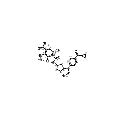 C=CN(c1ccc(C(=O)C2CC2)cn1)C1CCC(NC(=O)c2c(C)cc(C(N)=O)c(N[C@H](C)CC)c2Cl)C1